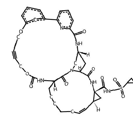 O=C1N[C@H]2CCCCC/C=C\[C@@H]3C[C@@]3(C(=O)NS(=O)(=O)C3CC3)NC(=O)[C@@H]3C[C@H](CN3C2=O)NC(=O)c2cccc(n2)-c2cccc(c2)OCC#CCO1